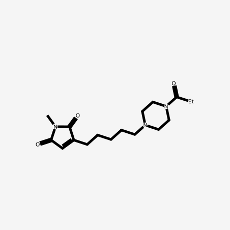 CCC(=O)N1CCN(CCCCCC2=CC(=O)N(C)C2=O)CC1